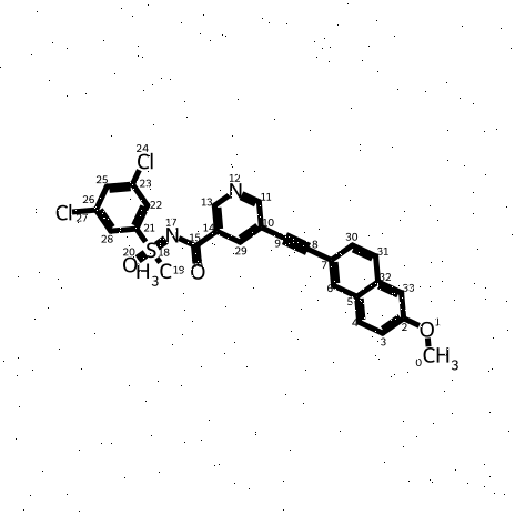 COc1ccc2cc(C#Cc3cncc(C(=O)N=S(C)(=O)c4cc(Cl)cc(Cl)c4)c3)ccc2c1